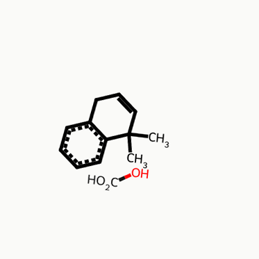 CC1(C)C=CCc2ccccc21.O=C(O)O